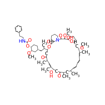 CO[C@H]1C[C@@H]2CC[C@@H](C)[C@@](O)(O2)C(=O)C(=O)N2CCCC[C@H]2C(=O)O[C@H]([C@H](C)C[C@@H]2CC[C@@H](OC(=O)NCCc3ccccc3)[C@H](OC)C2)CC(=O)[C@H](C)/C=C(\C)[C@@H](O)CC(=O)[C@H](C)C[C@H](C)/C=C/C=C/C=C/1C